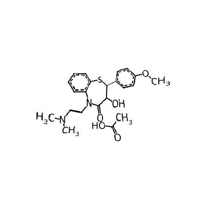 CC(=O)O.COc1ccc(C2Sc3ccccc3N(CCN(C)C)C(=O)C2O)cc1